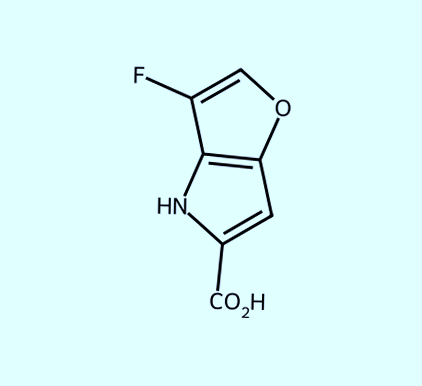 O=C(O)c1cc2occ(F)c2[nH]1